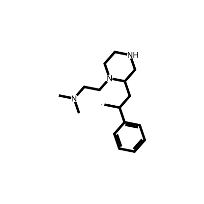 [CH2]C(CC1CNCCN1CCN(C)C)c1ccccc1